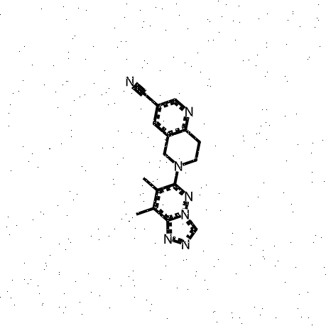 Cc1c(N2CCc3ncc(C#N)cc3C2)nn2cnnc2c1C